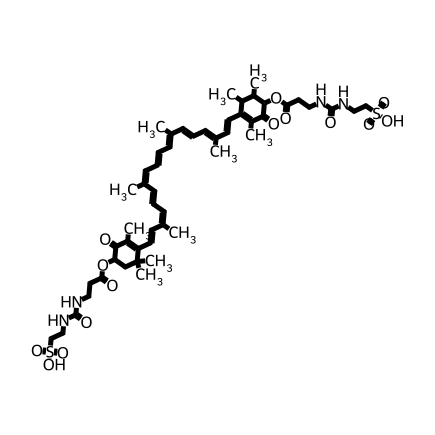 CC(C=CC=C(C)C=CC1=C(C)C(=O)C(OC(=O)CCNC(=O)NCCS(=O)(=O)O)C(C)C1C)=CC=CC=C(C)C=CC=C(C)C=CC1=C(C)C(=O)C(OC(=O)CCNC(=O)NCCS(=O)(=O)O)CC1(C)C